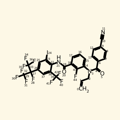 C=CCN(C(=O)c1ccc(C#N)cc1)c1cccc(C(=O)Nc2c(I)cc(C(F)(C(F)(F)F)C(F)(F)F)cc2C(F)(F)F)c1F